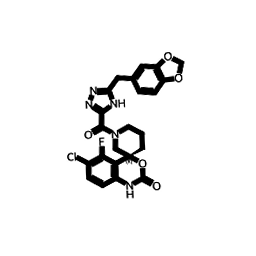 O=C1Nc2ccc(Cl)c(F)c2[C@@]2(CCCN(C(=O)c3nnc(Cc4ccc5c(c4)OCO5)[nH]3)C2)O1